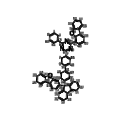 c1ccc(-c2nc(-c3ccc(-c4ccc(C5(c6ccc7c(c6)oc6ccccc67)c6ccccc6-c6ccccc65)cc4)cc3)nc(-c3cccc4c3oc3ccccc34)n2)cc1